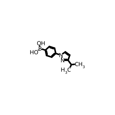 CC(C)c1ccn(-c2ccc(B(O)O)cc2)n1